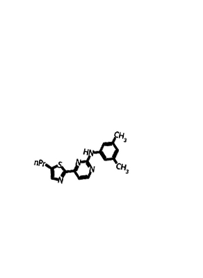 CCCc1cnc(-c2ccnc(Nc3cc(C)cc(C)c3)n2)s1